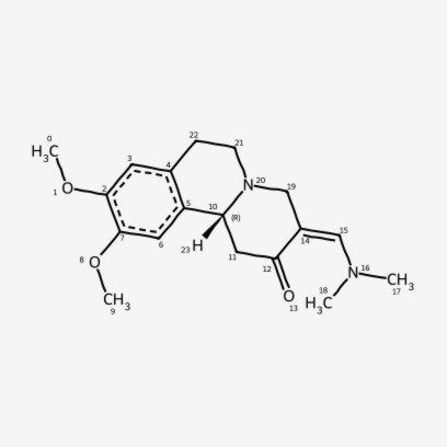 COc1cc2c(cc1OC)[C@H]1CC(=O)C(=CN(C)C)CN1CC2